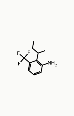 CCC(C)c1c(N)cccc1C(F)(F)F